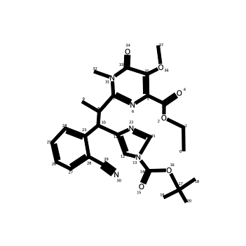 CCOC(=O)c1nc(C(C)C(c2cn(C(=O)OC(C)(C)C)cn2)c2ccccc2C#N)n(C)c(=O)c1OC